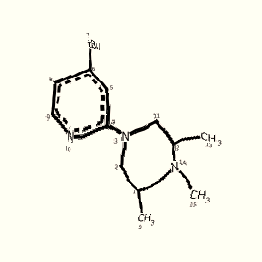 CC1CN(c2cc(C(C)(C)C)ccn2)CC(C)N1C